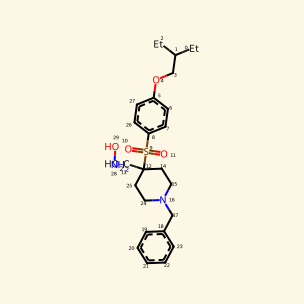 CCC(CC)COc1ccc(S(=O)(=O)C2(C(=O)O)CCN(Cc3ccccc3)CC2)cc1.NO